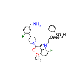 COCCn1cc(C(=O)N2CCC(c3cc(CN)ccc3F)CC2)c2c(OC(F)(F)F)ccc(F)c21.O=S(=O)(O)c1ccccc1